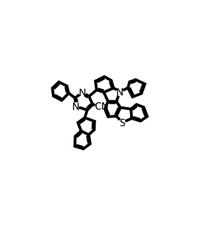 N#Cc1c(-c2ccc3ccccc3c2)nc(-c2ccccc2)nc1-c1cccc2c1c1ccc3sc4ccccc4c3c1n2-c1ccccc1